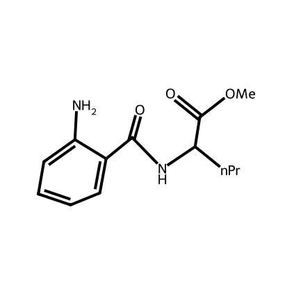 CCCC(NC(=O)c1ccccc1N)C(=O)OC